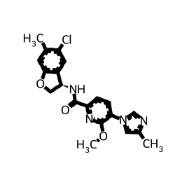 COc1nc(C(=O)N[C@@H]2COc3cc(C)c(Cl)cc32)ccc1-n1cnc(C)c1